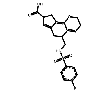 O=C(O)C1C=C2CC(CNS(=O)(=O)c3ccc(F)cc3)C3=CCCOC3=C2C1